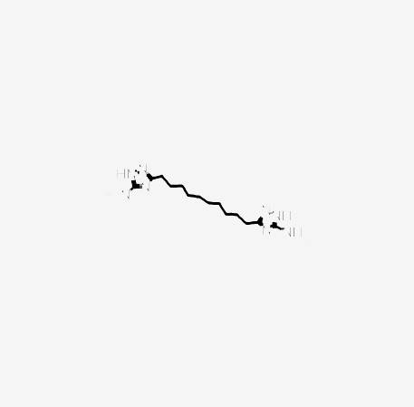 Nc1nc(CCCCCCCCCCc2n[nH]c(N)n2)n[nH]1